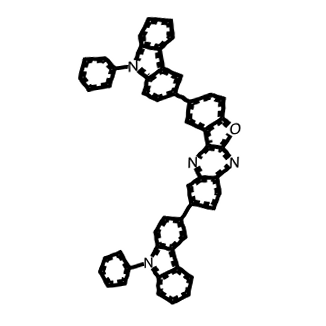 c1ccc(-n2c3ccccc3c3cc(-c4ccc5nc6oc7ccc(-c8ccc9c(c8)c8ccccc8n9-c8ccccc8)cc7c6nc5c4)ccc32)cc1